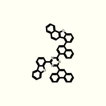 c1ccc2c(c1)cc(-c1nc(-c3ccc(-c4cccc5oc6c7ccccc7ccc6c45)c4ccccc34)nc(-c3cccc4c3oc3ccccc34)n1)c1ccccc12